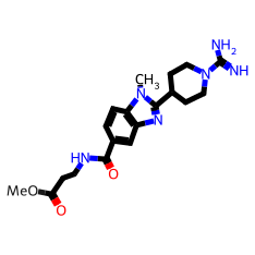 COC(=O)CCNC(=O)c1ccc2c(c1)nc(C1CCN(C(=N)N)CC1)n2C